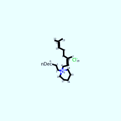 CCCCCCCCCCCC[N+]1(CC=C(C)CCC=C(C)C)CCCCC1.[Cl-]